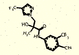 CC(O)(Cn1cc(C(F)(F)F)cn1)C(=O)Nc1ccc(C#N)c(C(F)(F)F)c1